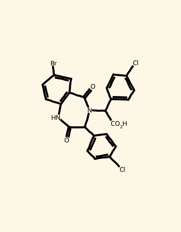 O=C(O)C(c1ccc(Cl)cc1)N1C(=O)c2cc(Br)ccc2NC(=O)C1c1ccc(Cl)cc1